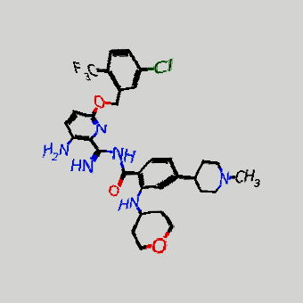 CN1CCC(c2ccc(C(=O)NC(=N)c3nc(OCc4cc(Cl)ccc4C(F)(F)F)ccc3N)c(NC3CCOCC3)c2)CC1